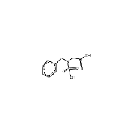 O=C(O)CN(Cc1ccccc1)S(=O)(=O)O